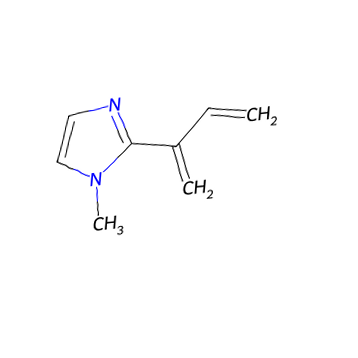 C=CC(=C)c1nccn1C